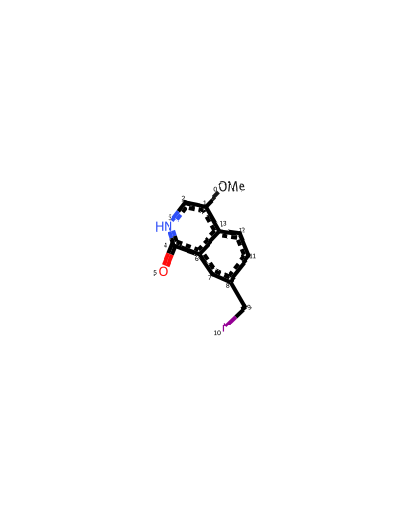 COc1c[nH]c(=O)c2cc(CI)ccc12